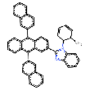 CC1C=CC=CC1n1c(-c2ccc3c(-c4ccc5ccccc5c4)c4ccccc4c(-c4ccc5ccccc5c4)c3c2)nc2ccccc21